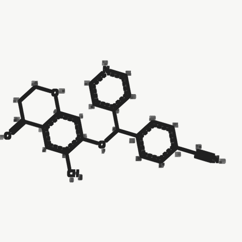 Cc1cc2c(cc1OC(c1ccncc1)c1ccc(C#N)cc1)OCCC2=O